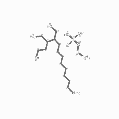 CCCCCCCCCCCCCCCCCCC(CO)C(CO)CCO.O[Si](O)(O)OO[SiH3]